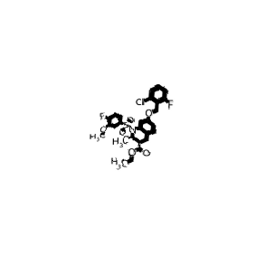 CCOC(=O)[C@@H]1Cc2ccc(OCc3c(F)cccc3Cl)cc2N(S(=O)(=O)c2ccc(F)c(OC)c2)[C@@H]1C